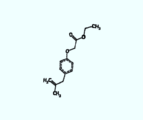 C=C(C)Cc1ccc(OCC(=O)OCC)cc1